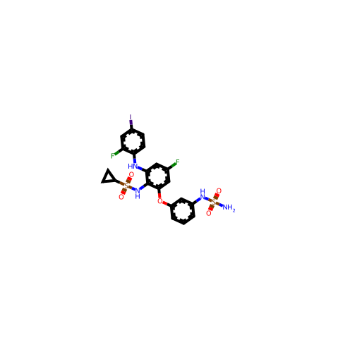 NS(=O)(=O)Nc1cccc(Oc2cc(F)cc(Nc3ccc(I)cc3F)c2NS(=O)(=O)C2CC2)c1